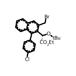 CCOC(=O)[C@@H](OC(C)(C)C)c1c(CBr)cc2ccccc2c1-c1ccc(Cl)cc1